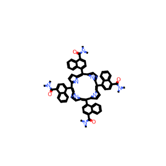 CN(C)C(=O)c1ccc(-c2c3nc(c(-c4ccc(C(=O)N(C)C)c5ccccc45)c4ccc([nH]4)c(-c4ccc(C(=O)N(C)C)c5ccccc45)c4nc(c(-c5ccc(C(=O)N(C)C)c6ccccc56)c5ccc2[nH]5)C=C4)C=C3)c2ccccc12